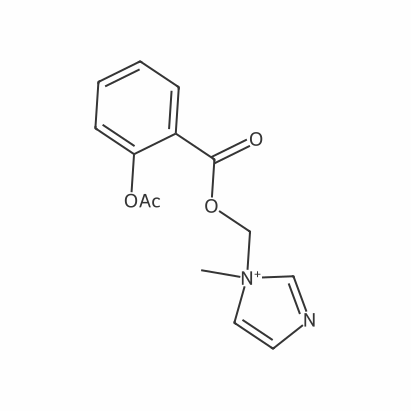 CC(=O)Oc1ccccc1C(=O)OC[N+]1(C)C=CN=C1